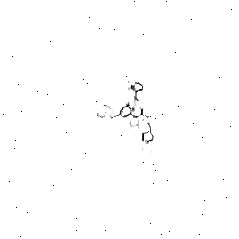 O=C(NCc1ccc(Cl)cc1)c1cn2c3c(cc(CN4CCOCC4)cc3c1=O)OC(c1cccnc1)=C2